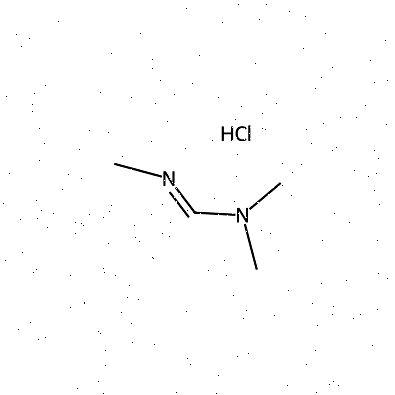 CN=CN(C)C.Cl